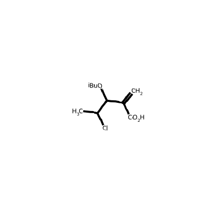 C=C(C(=O)O)C(OCC(C)C)C(C)Cl